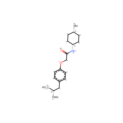 CO[C@@H](Cc1ccc(OCC(=O)N[C@H]2CC[C@@H](C(C)(C)C)CC2)cc1)C(=O)O